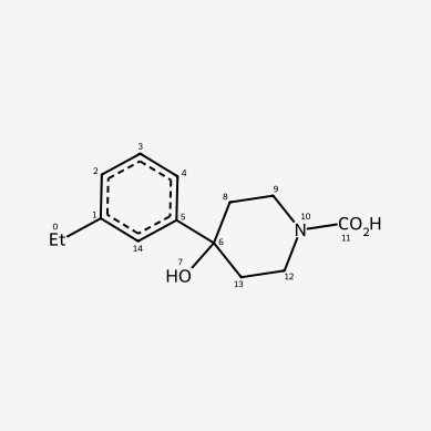 CCc1cccc(C2(O)CCN(C(=O)O)CC2)c1